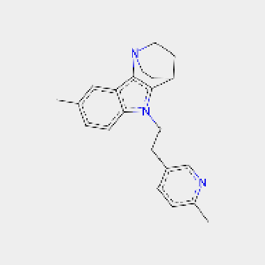 Cc1ccc2c(c1)c1c(n2CCc2ccc(C)nc2)C2CCN1CC2